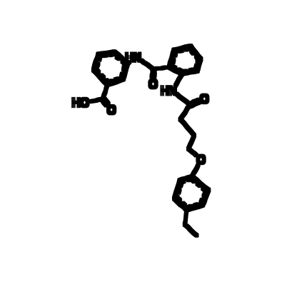 CCc1ccc(OCCCC(=O)Nc2ccccc2C(=O)Nc2cccc(C(=O)O)c2)cc1